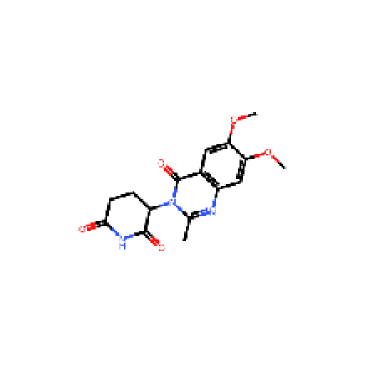 COc1cc2nc(C)n(C3CCC(=O)NC3=O)c(=O)c2cc1OC